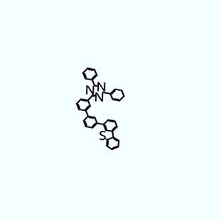 C1=CC(c2nc(-c3ccccc3)nc(-c3cccc(-c4cccc(-c5cccc6c5sc5ccccc56)c4)c3)n2)=CCC1